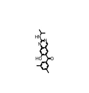 Cc1cc(C)cc(C(=O)c2cc3cnc(NC(C)C)nc3cc2O)c1